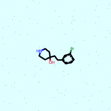 OC1(CCc2cccc(Br)c2)CCNCC1